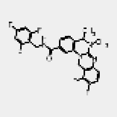 CC1c2ccc(C(=O)NCc3c(F)cc(F)cc3F)cc2N2Cc3c(ccc(F)c3F)N=C2N1C